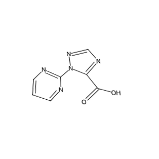 O=C(O)c1ncnn1-c1ncccn1